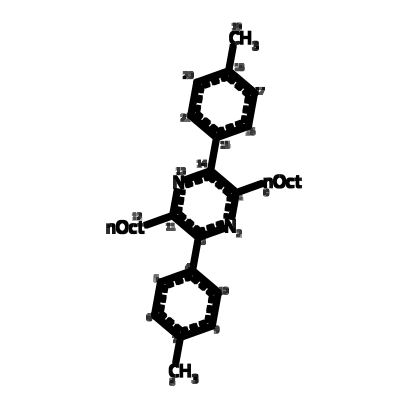 CCCCCCCCc1nc(-c2ccc(C)cc2)c(CCCCCCCC)nc1-c1ccc(C)cc1